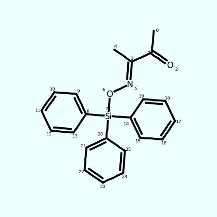 CC(=O)/C(C)=N/O[Si](c1ccccc1)(c1ccccc1)c1ccccc1